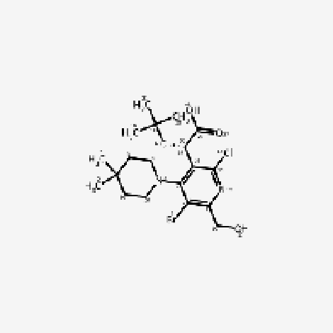 CC1(C)CCN(c2c(Br)c(CO)nc(Cl)c2[C@H](OC(C)(C)C)C(=O)O)CC1